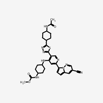 COC(=O)NC1CCC(Nc2cc(-c3ccc4cc(C#N)cnn34)ncc2-c2nnc(C3CCC(NC(C)=O)CC3)s2)CC1